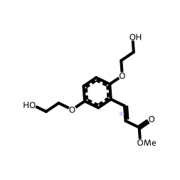 COC(=O)/C=C/c1cc(OCCO)ccc1OCCO